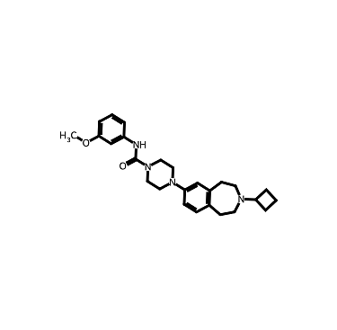 COc1cccc(NC(=O)N2CCN(c3ccc4c(c3)CCN(C3CCC3)CC4)CC2)c1